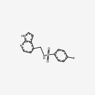 O=S(=O)(NCc1ccnc2[nH]ccc12)c1ccc(F)cc1